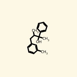 Cc1cccc(CC(C)C(C)(O)c2ccccc2)c1